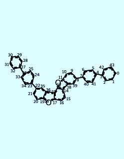 c1ccc(-c2ccc(-c3ccc4oc5c(ccc6oc7ccc(-c8ccc(-c9ccccc9)cc8)cc7c65)c4c3)cc2)cc1